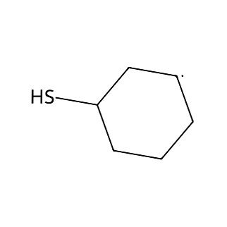 SC1C[CH]CCC1